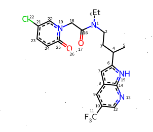 CCN(CCC(C)c1cc2cc(C(F)(F)F)cnc2[nH]1)C(=O)Cn1cc(Cl)ccc1=O